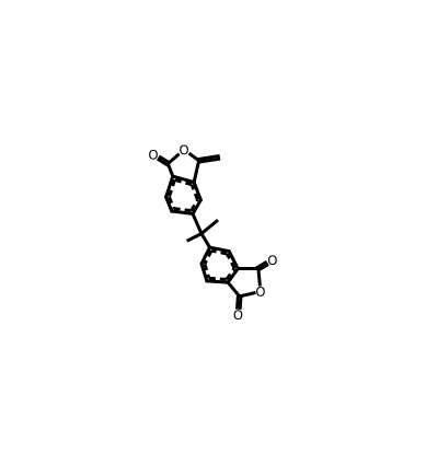 C=C1OC(=O)c2ccc(C(C)(C)c3ccc4c(c3)C(=O)OC4=O)cc21